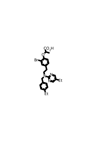 CCc1ccc(CN(CCc2ccc(OC(C)C(=O)O)c(Br)c2)c2ncc(CC)cn2)cc1